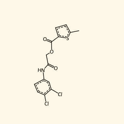 Cc1ccc(C(=O)OCC(=O)Nc2ccc(Cl)c(Cl)c2)s1